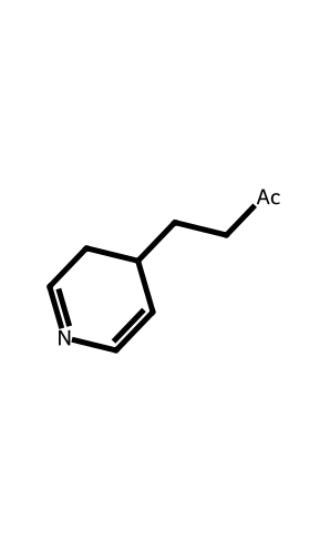 CC(=O)CCC1C=CN=CC1